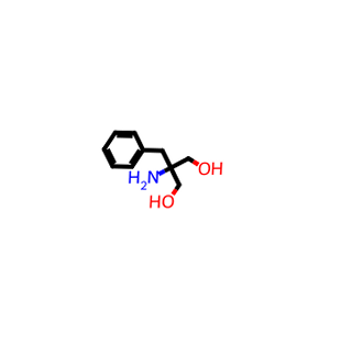 NC(CO)(CO)Cc1ccccc1